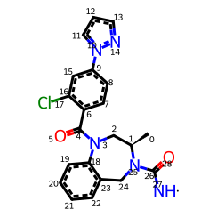 C[C@@H]1CN(C(=O)c2ccc(-n3cccn3)cc2Cl)c2ccccc2CN1C([NH])=O